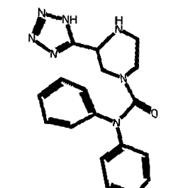 O=C(N1CCNC(c2nnn[nH]2)C1)N(c1ccccc1)c1ccccc1